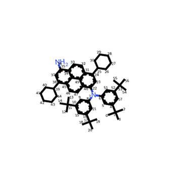 CC(C)(C)c1cc(N(c2cc(C(C)(C)C)cc(C(C)(C)C)c2)c2cc(C3CCCCC3)c3ccc4c(N)cc(C5CCCCC5)c5ccc2c3c45)cc(C(C)(C)C)c1